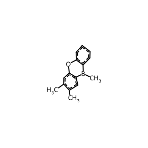 CB1c2ccccc2Oc2cc(C)c(C)cc21